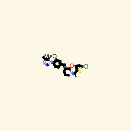 COc1cc(/C=C2\CCCN([C@H](C)c3ccc(Cl)s3)C2=O)ccc1-n1cnc(C)c1